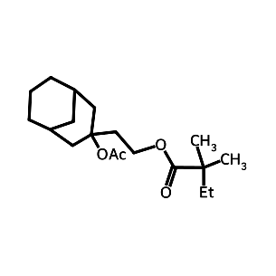 CCC(C)(C)C(=O)OCCC1(OC(C)=O)CC2CCCC(C2)C1